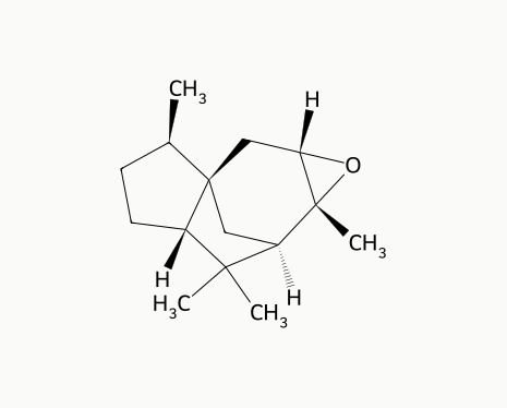 C[C@@H]1CC[C@H]2C(C)(C)[C@H]3C[C@@]12C[C@@H]1O[C@@]13C